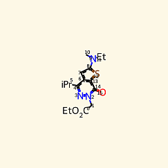 CCOC(=O)Cn1nc(C(C)C)c2cc(N(C)CC)sc2c1=O